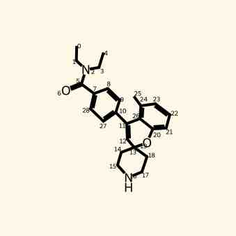 CCN(CC)C(=O)c1ccc(C2=CC3(CCNCC3)Oc3cccc(C)c32)cc1